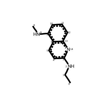 CCNc1ccc2c(NC)cccc2n1